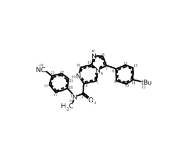 CN(C(=O)c1cn2c(-c3ccc(C(C)(C)C)cc3)cnc2cn1)c1ccc(C#N)cc1